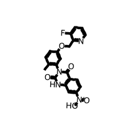 Cc1ccc(OCc2ncccc2F)cc1-n1c(=O)[nH]c2cc([N+](=O)O)ccc2c1=O